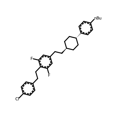 CCCCc1ccc([C@H]2CC[C@H](CCc3cc(F)c(CCc4ccc(Cl)cc4)c(F)c3)CC2)cc1